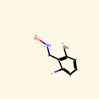 CC(C)(C)c1cccc(I)c1CNO